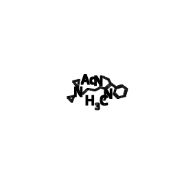 CC(=O)N1CCc2c(n(C)c3ccccc23)C1CCCN(C1CC1)C1CC1